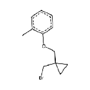 Cc1ccccc1OCC1(CBr)CC1